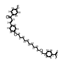 C=C(C)c1ccc(COCCCCCCCCCCOc2ccc(C=CC(=O)c3ccc(F)cc3)cc2)cc1